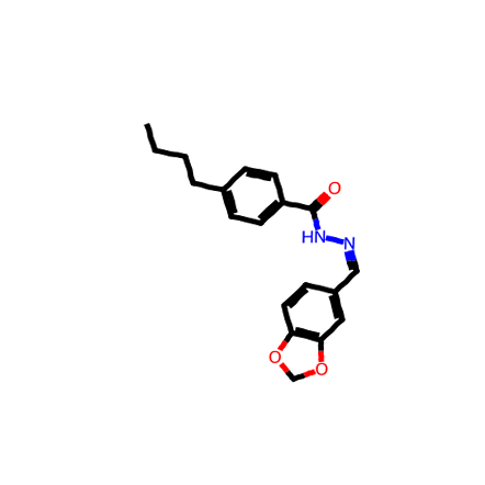 CCCCc1ccc(C(=O)N/N=C\c2ccc3c(c2)OCO3)cc1